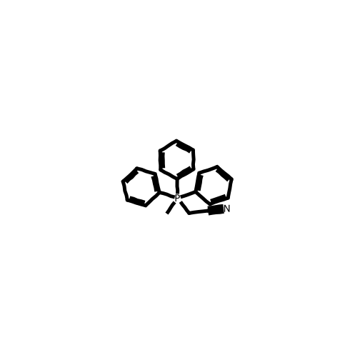 CP(CC#N)(c1ccccc1)(c1ccccc1)c1ccccc1